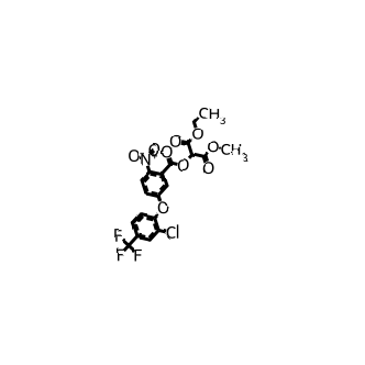 CCOC(=O)C(OC(=O)c1cc(Oc2ccc(C(F)(F)F)cc2Cl)ccc1[N+](=O)[O-])C(=O)OC